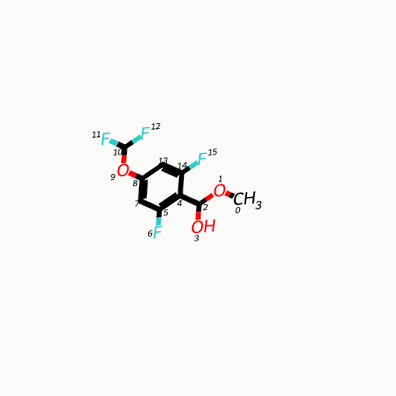 COC(O)c1c(F)cc(OC(F)F)cc1F